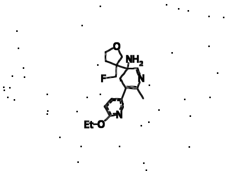 CCOc1ccc(C2=C(C)N=CC(N)(C3(CF)CCOC3)C2)cn1